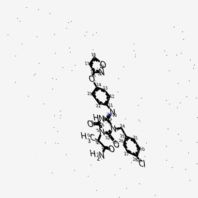 C[C@@H](C(N)=O)n1c(=O)[nH]/c(=N\c2ccc(Oc3ccon3)cc2)n(Cc2ccc(Cl)cc2)c1=O